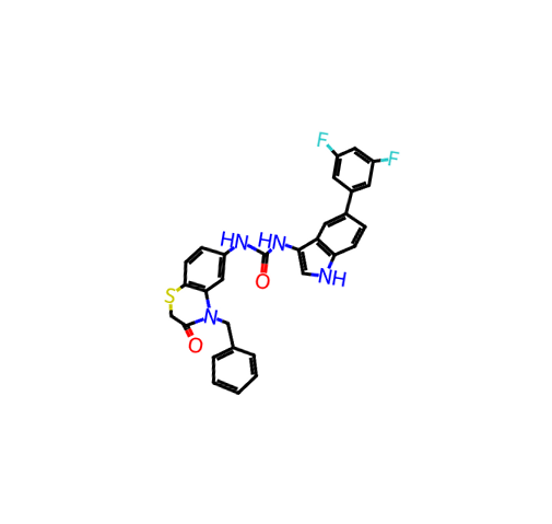 O=C(Nc1ccc2c(c1)N(Cc1ccccc1)C(=O)CS2)Nc1c[nH]c2ccc(-c3cc(F)cc(F)c3)cc12